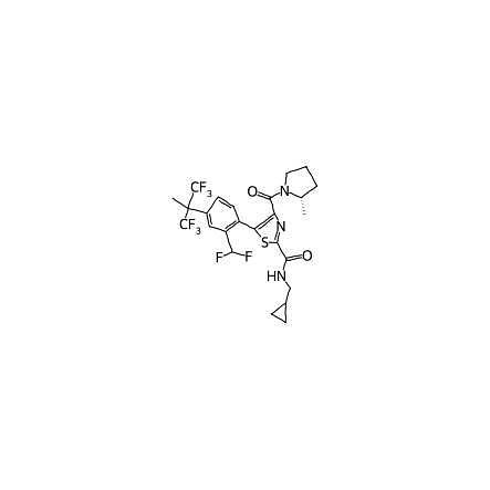 C[C@H]1CCCN1C(=O)c1nc(C(=O)NCC2CC2)sc1-c1ccc(C(C)(C(F)(F)F)C(F)(F)F)cc1C(F)F